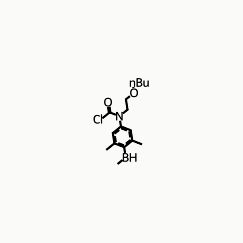 CBc1c(C)cc(N(CCOCCCC)C(=O)Cl)cc1C